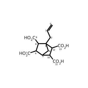 C=CCC12CC(C(C(=O)O)C1C(=O)O)C(C(=O)O)C2C(=O)O